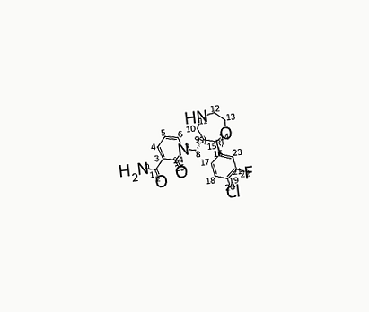 NC(=O)c1cccn(C[C@@H]2CNCCO[C@H]2c2ccc(Cl)c(F)c2)c1=O